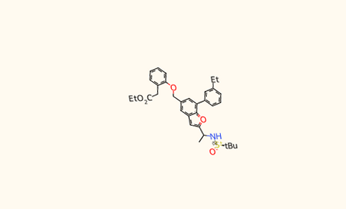 CCOC(=O)Cc1ccccc1OCc1cc(-c2cccc(CC)c2)c2oc(C(C)N[S@+]([O-])C(C)(C)C)cc2c1